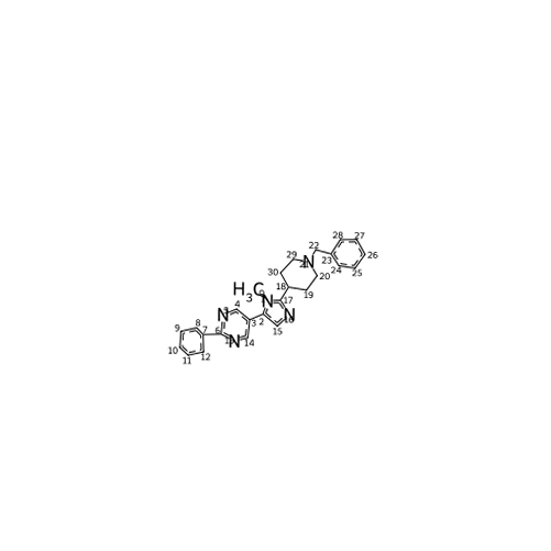 Cn1c(-c2cnc(-c3ccccc3)nc2)cnc1C1CCN(Cc2ccccc2)CC1